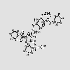 C=CC(NC1CCN(CCC(CO)(CN(C)S(=O)(=O)c2ccccc2)c2ccccc2)CC1)C(=O)OCc1ccccc1.Cl